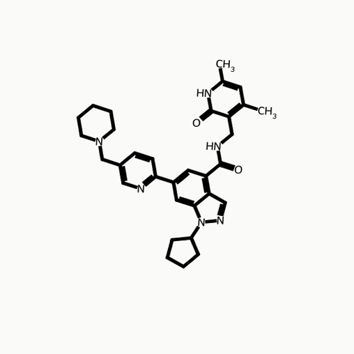 Cc1cc(C)c(CNC(=O)c2cc(-c3ccc(CN4CCCCC4)cn3)cc3c2cnn3C2CCCC2)c(=O)[nH]1